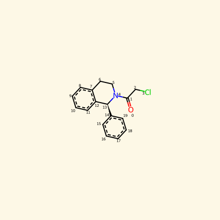 O=C(CCl)N1CCc2ccccc2[C@@H]1c1ccccc1